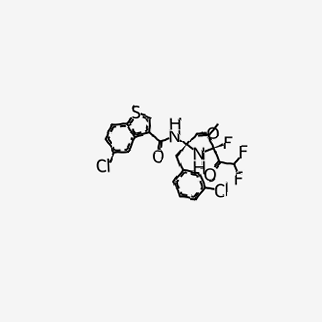 CC(C)[C@@](F)(N[C@](C=O)(Cc1cccc(Cl)c1)NC(=O)c1csc2ccc(Cl)cc12)C(=O)C(F)F